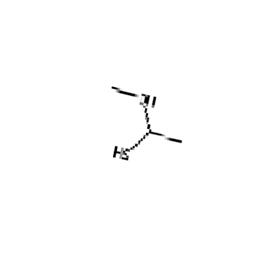 CBC(C)S